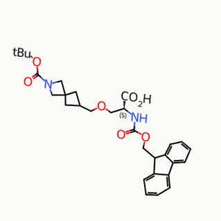 CC(C)(C)OC(=O)N1CC2(CC(COC[C@H](NC(=O)OCC3c4ccccc4-c4ccccc43)C(=O)O)C2)C1